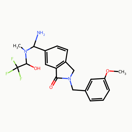 COc1cccc(CN2Cc3ccc(C(N)N(C)C(O)C(F)(F)F)cc3C2=O)c1